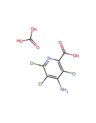 Nc1c(Cl)c(Cl)nc(C(=O)O)c1Cl.O=C(O)O